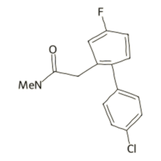 CNC(=O)Cc1cc(F)ccc1-c1ccc(Cl)cc1